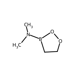 CN(C)B1CCOO1